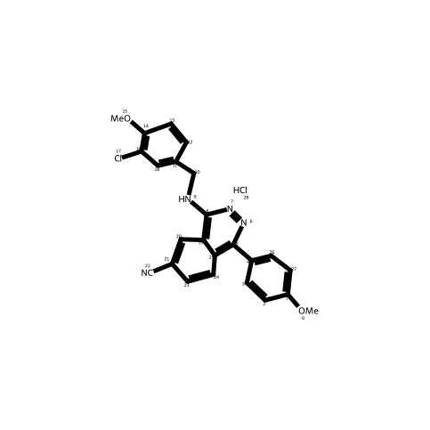 COc1ccc(-c2nnc(NCc3ccc(OC)c(Cl)c3)c3cc(C#N)ccc23)cc1.Cl